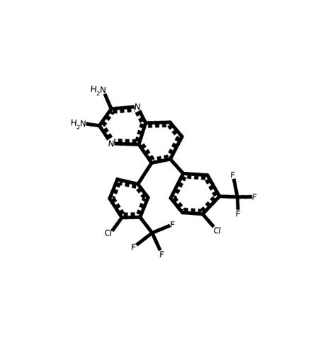 Nc1nc2ccc(-c3ccc(Cl)c(C(F)(F)F)c3)c(-c3ccc(Cl)c(C(F)(F)F)c3)c2nc1N